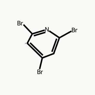 Brc1[c]c(Br)nc(Br)c1